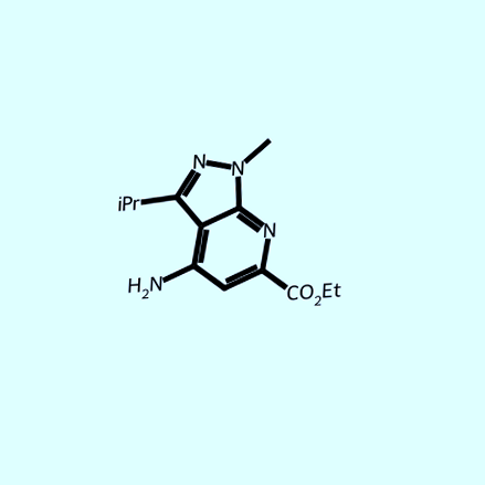 CCOC(=O)c1cc(N)c2c(C(C)C)nn(C)c2n1